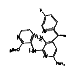 COc1ncccc1Nc1nc(N)cc([C@H](C)c2ccc(F)cn2)c1N